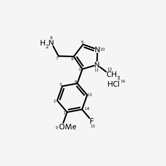 COc1ccc(-c2c(CN)cnn2C)cc1F.Cl